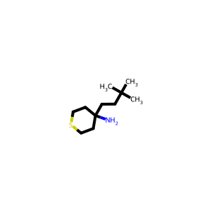 CC(C)(C)CCC1(N)CCSCC1